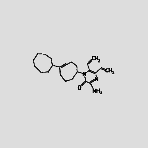 C=Cc1nc(N)c(=O)n(C2CC/C=C(\C3CCCCCCC3)CCC2)c1C=C